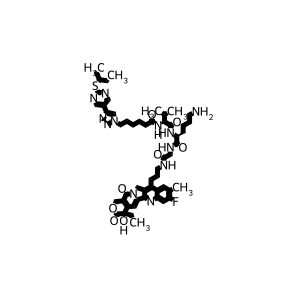 CCC(CC)Sc1ncc(-c2cn(CCCCCC(=O)N[C@H](C(=O)N[C@@H](CCCCN)C(=O)NCC(=O)NCCCc3c4c(nc5cc(F)c(C)cc35)-c3cc5c(c(=O)n3C4)COC(=O)[C@]5(O)CC)C(C)C)nn2)cn1